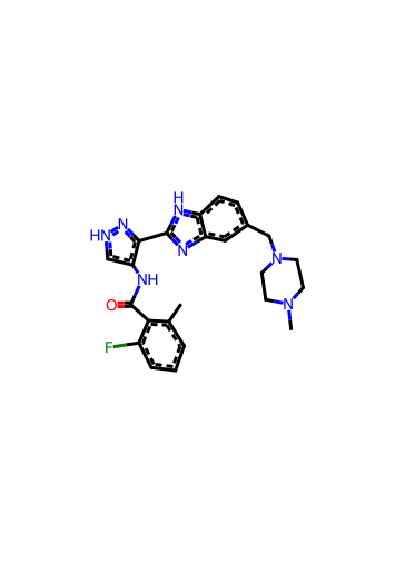 Cc1cccc(F)c1C(=O)Nc1c[nH]nc1-c1nc2cc(CN3CCN(C)CC3)ccc2[nH]1